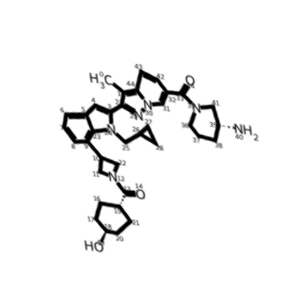 Cc1c(-c2cc3cccc(C4CN(C(=O)[C@H]5CC[C@H](O)CC5)C4)c3n2CC2CC2)nn2cc(C(=O)N3CCC[C@@H](N)C3)ccc12